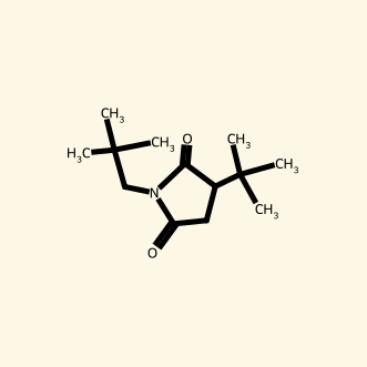 CC(C)(C)CN1C(=O)CC(C(C)(C)C)C1=O